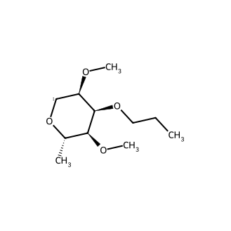 CCCO[C@H]1[C@@H](OC)[C@H](C)O[C][C@H]1OC